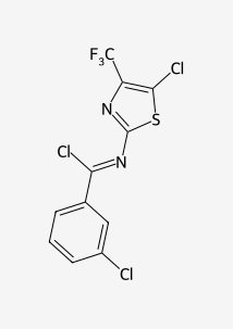 FC(F)(F)c1nc(N=C(Cl)c2cccc(Cl)c2)sc1Cl